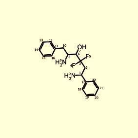 NC(CC(F)(F)C(O)C(N)Cc1ccccc1)c1ccccc1